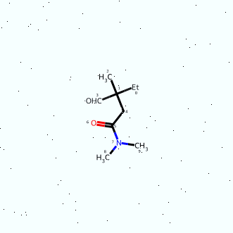 CCC(C)([C]=O)CC(=O)N(C)C